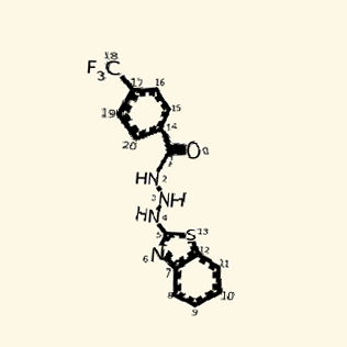 O=C(NNNc1nc2ccccc2s1)c1ccc(C(F)(F)F)cc1